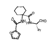 CC(C)[C@@H](C=O)NC(=O)C1(NC(=O)c2ccco2)CCCCC1